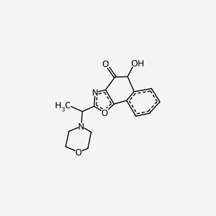 CC(c1nc2c(o1)-c1ccccc1C(O)C2=O)N1CCOCC1